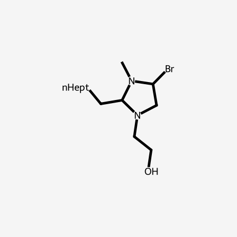 CCCCCCCCC1N(CCO)CC(Br)N1C